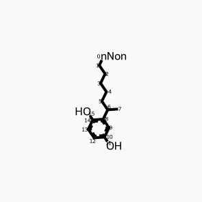 CCCCCCCCCCCCCCC(C)c1cc(O)ccc1O